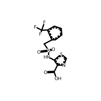 O=C(O)c1ncsc1NS(=O)(=O)Cc1ccccc1C(F)(F)F